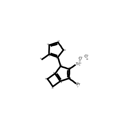 CC1=C(C2[C]([Ti+2])=C(C(C)C)C3=C2CC3)CC=C1.[Cl-].[Cl-]